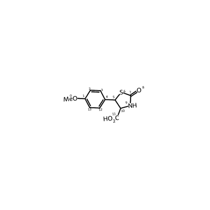 COc1ccc(C2SC(=O)NC2C(=O)O)cc1